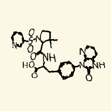 CC1(C)CCN(S(=O)(=O)c2cccnc2)C1C(=O)NC(Cc1ccc(-n2c(=O)[nH]c3cccnc32)cc1)C(=O)O